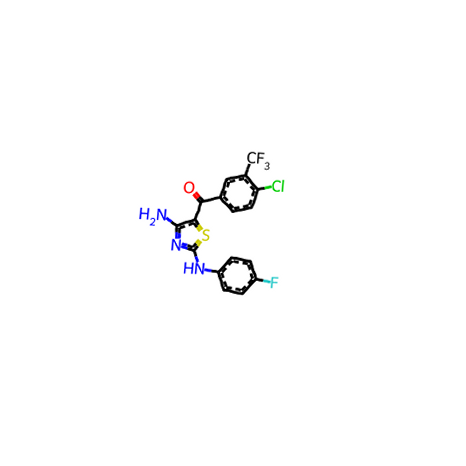 Nc1nc(Nc2ccc(F)cc2)sc1C(=O)c1ccc(Cl)c(C(F)(F)F)c1